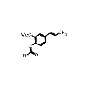 C/C=C/c1ccc(OC(=O)CC)c(OC)c1